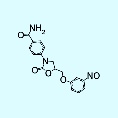 NC(=O)c1ccc(N2CC(COc3cccc(N=O)c3)OC2=O)cc1